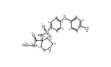 O=C(NO)C1(NS(=O)(=O)c2ccc(Oc3ccc(Cl)cc3)cc2)CCOCC1